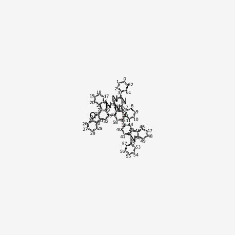 c1ccc(-c2nc(-c3ccccc3)nc(-n3c4ccccc4c4c5oc6ccccc6c5cc(-c5cccc(-c6ccc7c(c6)c6ccccc6n7-c6ccccc6)c5)c43)n2)cc1